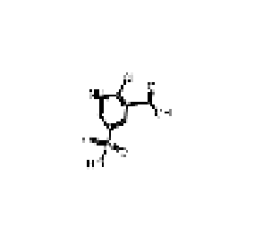 N.O=C(O)c1cc(S(=O)(=O)O)ccc1O